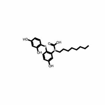 CCCCCCCCN(C(=O)O)c1cc(O)ccc1Sc1ccc(O)cc1O